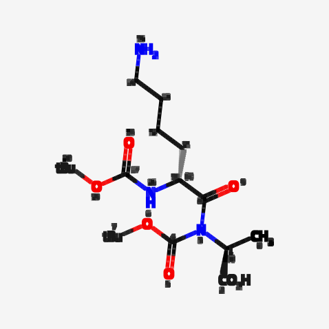 C[C@@H](C(=O)O)N(C(=O)OC(C)(C)C)C(=O)[C@@H](CCCCN)NC(=O)OC(C)(C)C